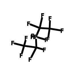 FC(F)(F)C(F)(F)[PH](F)(F)C(F)(F)C(F)(F)F